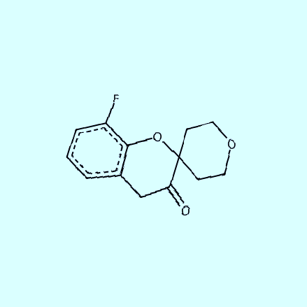 O=C1Cc2cccc(F)c2OC12CCOCC2